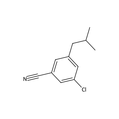 CC(C)Cc1cc(Cl)cc(C#N)c1